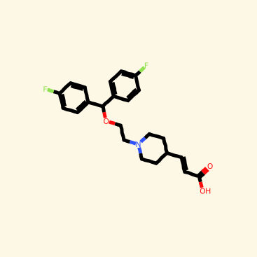 O=C(O)C=CC1CCN(CCOC(c2ccc(F)cc2)c2ccc(F)cc2)CC1